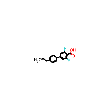 CCCC1=CCC(c2cc(F)c(C(=O)O)c(F)c2)C=C1